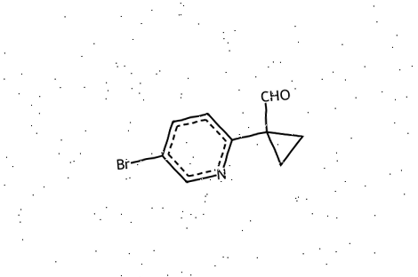 O=CC1(c2ccc(Br)cn2)CC1